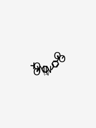 COC(=O)c1ccc(CN2CCN(C(=O)OC(C)(C)C)C[C@@H]2C)cc1